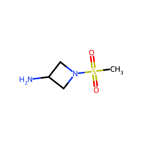 CS(=O)(=O)N1CC(N)C1